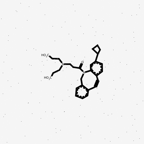 O=C(O)CCN(CCC(=O)O)CCC(=O)N1Cc2ccccc2C#Cc2ccc(C3CCC3)cc21